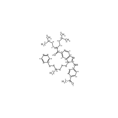 CC(=O)c1ccc(Nc2nc3ccc(C(=O)N(CCC(C)C)CCC(C)C)cc3n2CCCN(C)CCc2ccccc2)cc1